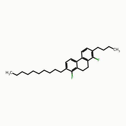 CCCCCCCCCCc1ccc2c(c1F)CCc1c-2ccc(CCCC)c1F